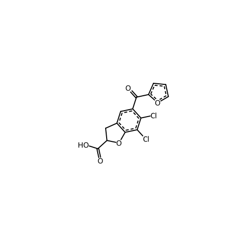 O=C(c1ccco1)c1cc2c(c(Cl)c1Cl)OC(C(=O)O)C2